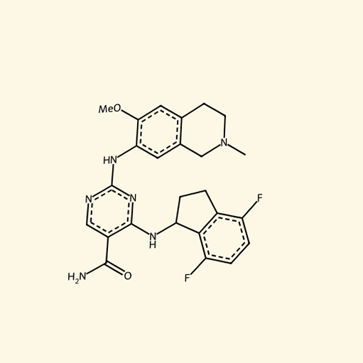 COc1cc2c(cc1Nc1ncc(C(N)=O)c(NC3CCc4c(F)ccc(F)c43)n1)CN(C)CC2